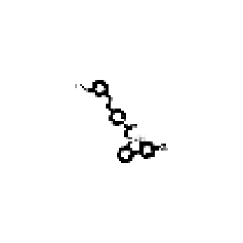 CC(C)Oc1cccc(CCC2CCN(C(=O)COc3ccccc3-c3ccc(C#N)cc3O)CC2)c1